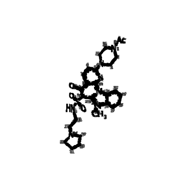 CC(=O)N1CCN(c2ccc3c(=O)c(S(=O)(=O)NCCN4CCCC4)c4n(C)c5ccccc5n4c3n2)CC1